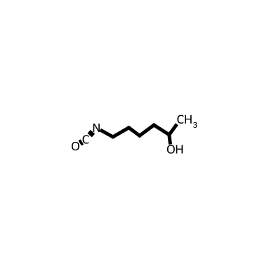 CC(O)CCCCN=C=O